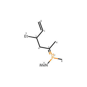 C=CC(CC)C/C(C)=[PH](/C)NC